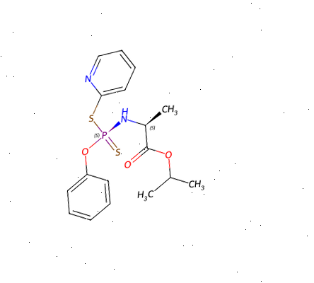 CC(C)OC(=O)[C@H](C)N[P@@](=S)(Oc1ccccc1)Sc1ccccn1